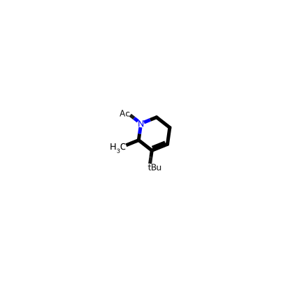 CC(=O)N1CCC=C(C(C)(C)C)C1C